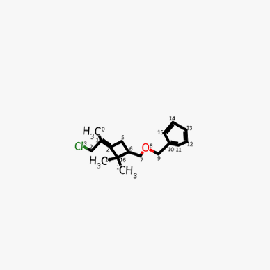 CC(CCl)=C1CC(COCc2ccccc2)C1(C)C